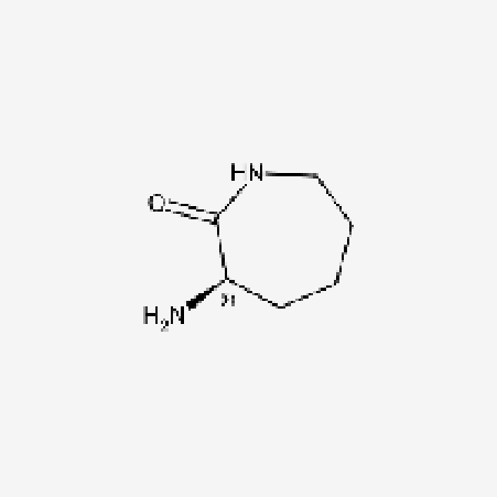 N[C@@H]1CCCCNC1=O